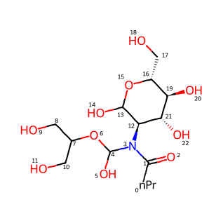 CCCC(=O)N(C(O)OC(CO)CO)[C@H]1C(O)O[C@H](CO)[C@@H](O)[C@@H]1O